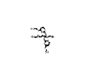 SCSCCC(SCS)(SC1SCCC(SCS)S1)SC1SCCC(SCS)S1